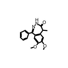 COc1cc2c(cc1OC)C(C)C(=O)NN=C2c1ccccc1